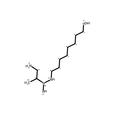 CCCCCCCCCCCCCCCCCCNN(CCC)C(C)CN